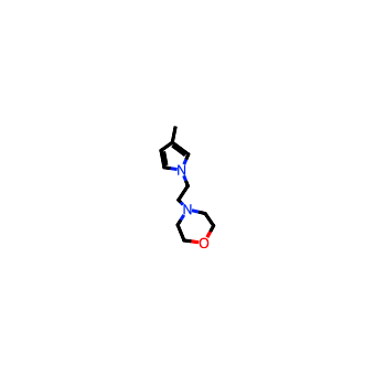 Cc1ccn(CCN2CCOCC2)c1